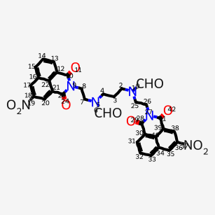 O=CN(CCCN(C=O)CCN1C(=O)c2cccc3cc([N+](=O)[O-])cc(c23)C1=O)CCN1C(=O)c2cccc3cc([N+](=O)[O-])cc(c23)C1=O